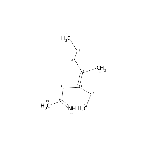 CCC/C(C)=C(/CC)CC(C)=N